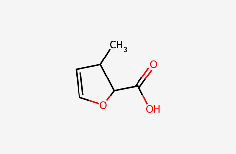 CC1C=COC1C(=O)O